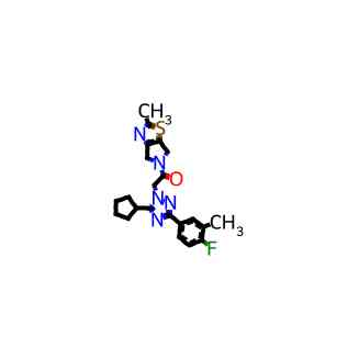 Cc1nc2c(s1)CN(C(=O)Cn1nc(-c3ccc(F)c(C)c3)nc1C1CCCC1)C2